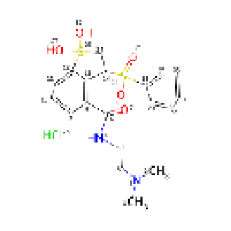 CN(C)CCNC(=O)c1cccc2c1C(S(=O)(=O)c1ccccc1)CS2(O)O.Cl